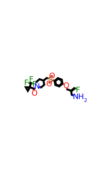 NCC(=CF)COc1ccc(S(=O)(=O)CC2CCN(C(=O)C3(C(F)(F)F)CC3)CC2)cc1